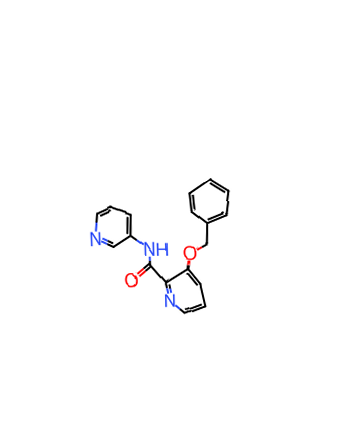 O=C(Nc1cccnc1)c1ncccc1OCc1ccccc1